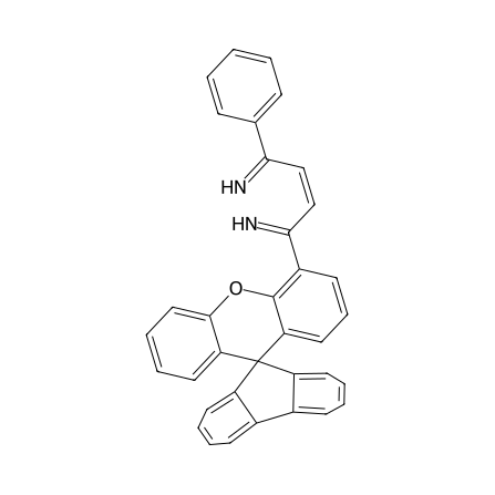 N=C(/C=C\C(=N)c1cccc2c1Oc1ccccc1C21c2ccccc2-c2ccccc21)c1ccccc1